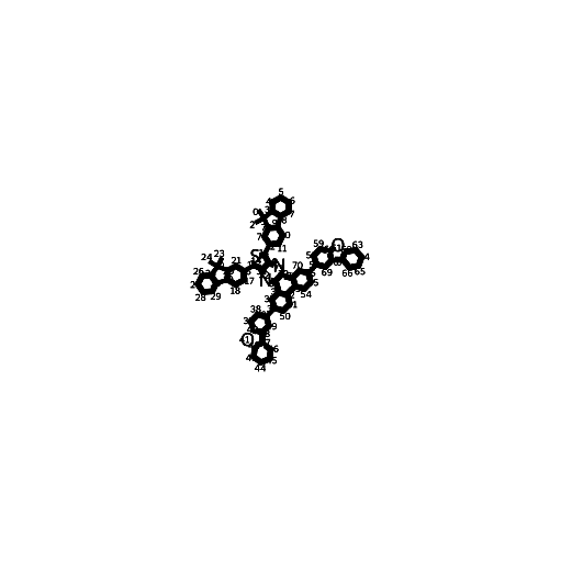 CC1(C)c2ccccc2-c2ccc(-c3sc(-c4ccc5c(c4)C(C)(C)c4ccccc4-5)c4nc5c6cc(-c7ccc8oc9ccccc9c8c7)ccc6c6ccc(-c7ccc8oc9ccccc9c8c7)cc6c5nc34)cc21